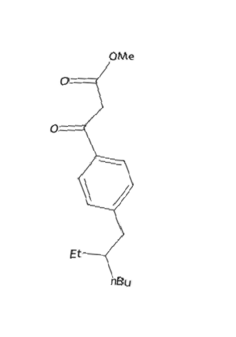 CCCCC(CC)Cc1ccc(C(=O)CC(=O)OC)cc1